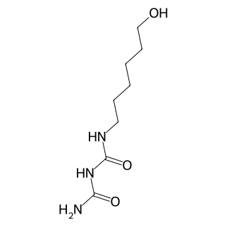 NC(=O)NC(=O)NCCCCCCO